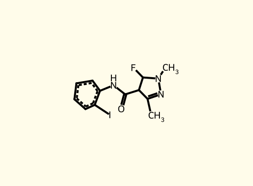 CC1=NN(C)C(F)C1C(=O)Nc1ccccc1I